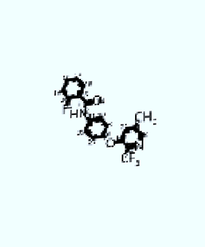 Cc1cnc(C(F)(F)F)c(Oc2ccc(NC(=O)c3ccccc3F)cc2)c1